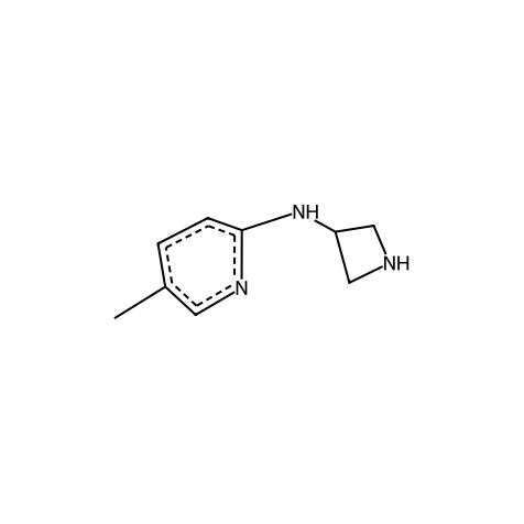 Cc1ccc(NC2CNC2)nc1